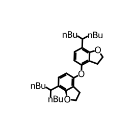 CCCCC(CCCC)c1ccc(Oc2ccc(C(CCCC)CCCC)c3c2CCO3)c2c1OCC2